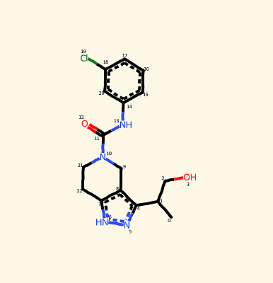 CC(CO)c1n[nH]c2c1CN(C(=O)Nc1cccc(Cl)c1)CC2